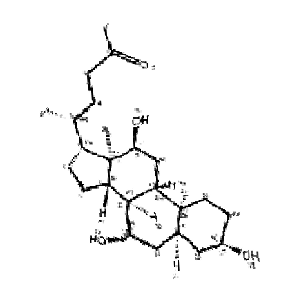 CC(=O)CC[C@@H](C)[C@H]1CC[C@H]2[C@@H]3[C@H](O)C[C@@H]4C[C@H](O)CC[C@]4(C)[C@H]3C[C@H](O)[C@]12C